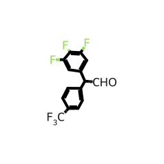 O=CC(c1ccc(C(F)(F)F)cc1)c1cc(F)c(F)c(F)c1